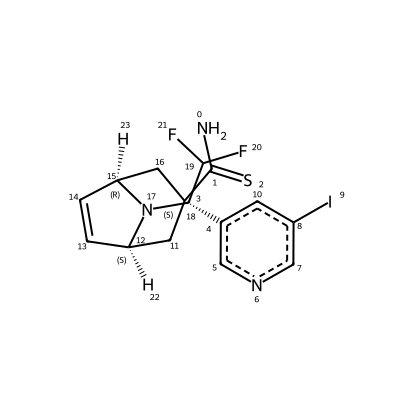 NC(=S)[C@@]1(c2cncc(I)c2)C[C@H]2C=C[C@@H](C1)N2CC(F)F